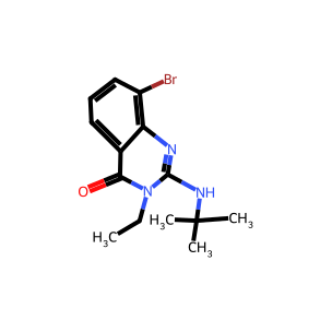 CCn1c(NC(C)(C)C)nc2c(Br)cccc2c1=O